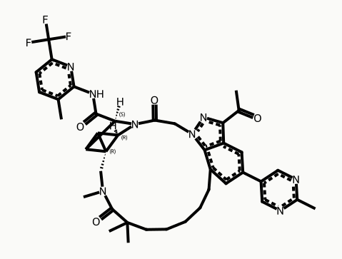 CC(=O)c1nn2c3c(cc(-c4cnc(C)nc4)cc13)CCCCCC(C)(C)C(=O)N(C)C[C@]13C4C1[C@H]3N(C(=O)C2)[C@@H]4C(=O)Nc1nc(C(F)(F)F)ccc1C